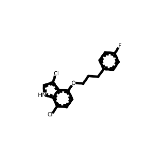 Fc1ccc(C[CH]COc2ccc(Cl)c3[nH]cc(Cl)c23)cc1